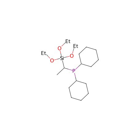 CCO[Si](OCC)(OCC)C(C)P(C1CCCCC1)C1CCCCC1